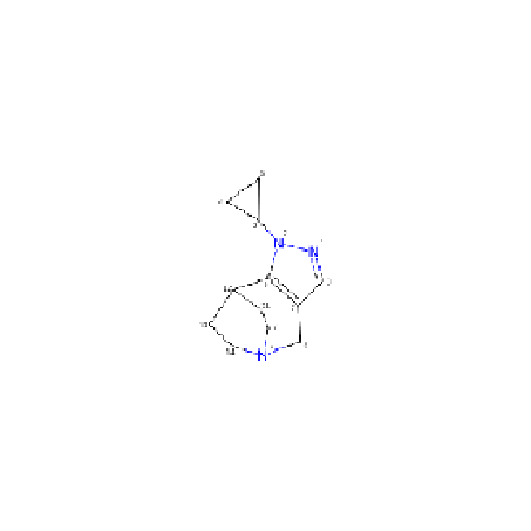 c1nn(C2CC2)c2c1CN1CCC2CC1